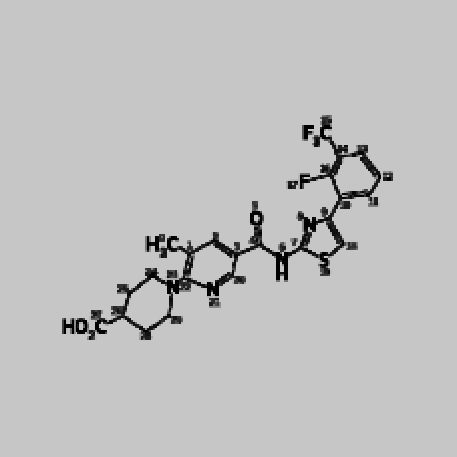 Cc1cc(C(=O)Nc2nc(-c3cccc(C(F)(F)F)c3F)cs2)cnc1N1CCC(C(=O)O)CC1